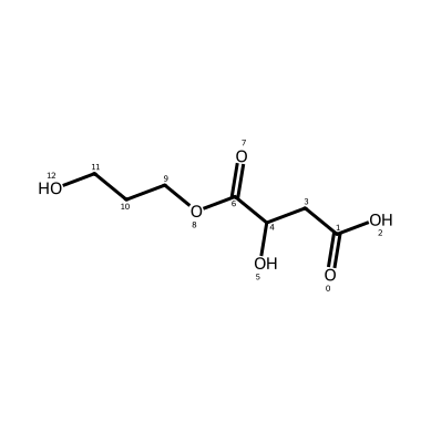 O=C(O)CC(O)C(=O)OCCCO